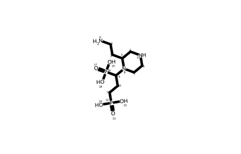 NCCC1CNCCN1C(CCP(=O)(O)O)P(=O)(O)O